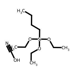 CCCC[Si](OCC)(OCC)OCC.N#CO